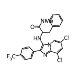 CNC(=O)C(Cc1ccccc1)Nc1c(-c2ccc(C(F)(F)F)cc2)nc2c(Cl)cc(Cl)cn12